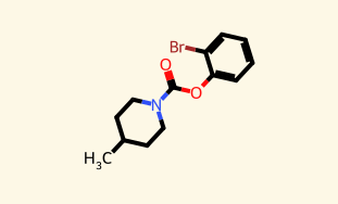 CC1CCN(C(=O)Oc2ccccc2Br)CC1